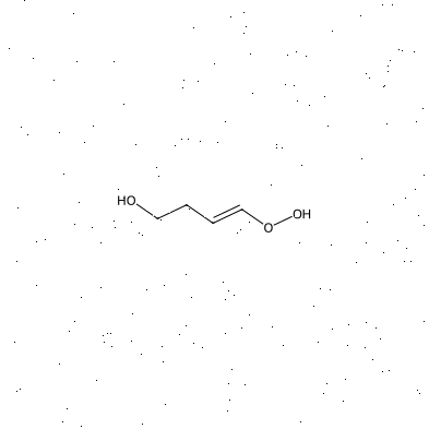 OCCC=COO